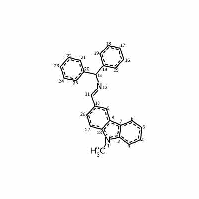 Cn1c2ccccc2c2cc(C=NC(c3ccccc3)c3ccccc3)ccc21